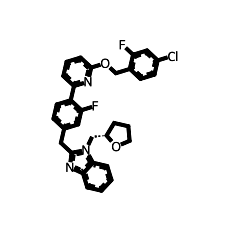 Fc1cc(Cl)ccc1COc1cccc(-c2ccc(Cc3nc4ccccc4n3C[C@@H]3CCCO3)cc2F)n1